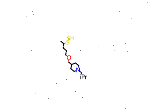 CC(C)CN1CCC(COCCCC(C)SS)CC1